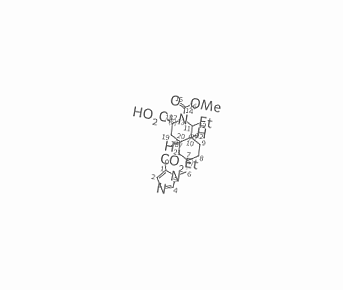 CCOC(=O)c1cncn1C[C@H]1CC[C@H]2C(CC)N(C(=O)OC)[C@H](C(=O)O)C[C@H]2C1